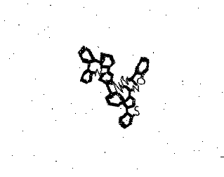 c1ccc2c(c1)-c1ccccc1-n1c3cc4c5ccccc5n(-c5nc6c(nc5-c5ccc7c(c5)sc5ccccc57)oc5ccccc56)c4cc3c3cccc-2c31